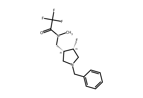 CN(C[C@H]1CN(Cc2ccccc2)C[C@H]1F)C(=O)C(F)(F)F